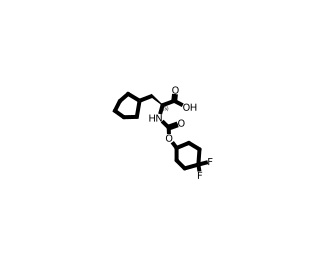 O=C(N[C@@H](CC1CCCCC1)C(=O)O)OC1CCC(F)(F)CC1